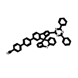 N#Cc1ccc(-c2ccc(-c3ccc4c(c3)C3(c5ccccc5Sc5ccccc53)c3cc(-c5nc(-c6ccccc6)nc(-c6ccccc6)n5)ccc3-4)cc2)cc1